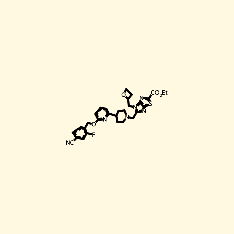 CCOC(=O)c1nc2c(nc(CN3CCC(c4cccc(OCc5ccc(C#N)cc5F)n4)CC3)n2CC2CCO2)s1